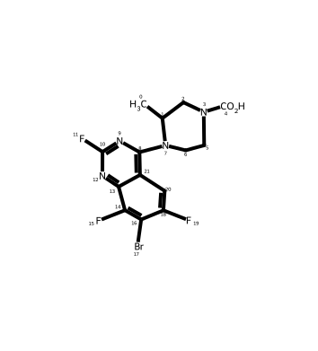 CC1CN(C(=O)O)CCN1c1nc(F)nc2c(F)c(Br)c(F)cc12